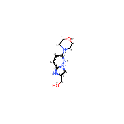 OCc1cn2nc(N3CCOCC3)ccc2n1